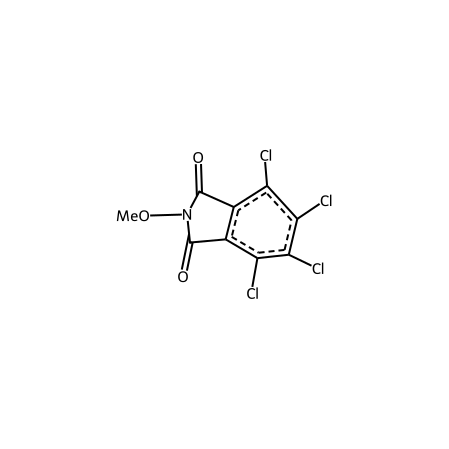 CON1C(=O)c2c(Cl)c(Cl)c(Cl)c(Cl)c2C1=O